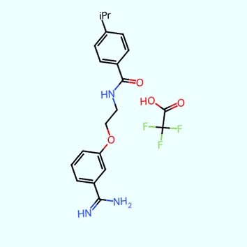 CC(C)c1ccc(C(=O)NCCOc2cccc(C(=N)N)c2)cc1.O=C(O)C(F)(F)F